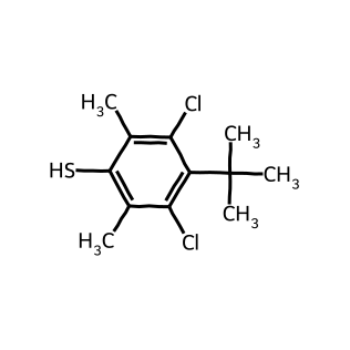 Cc1c(S)c(C)c(Cl)c(C(C)(C)C)c1Cl